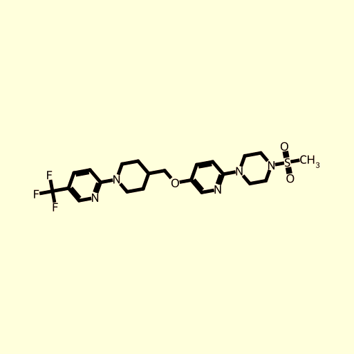 CS(=O)(=O)N1CCN(c2ccc(OCC3CCN(c4ccc(C(F)(F)F)cn4)CC3)cn2)CC1